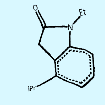 CCN1C(=O)Cc2c(C(C)C)cccc21